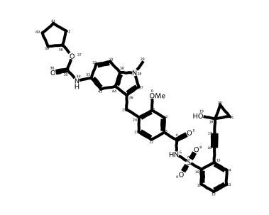 COc1cc(C(=O)NS(=O)(=O)c2ccccc2C#CC2(O)CC2)ccc1Cc1cn(C)c2ccc(NC(=O)OC3CCCC3)cc12